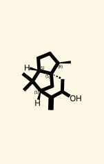 C=C1C(O)C[C@]23C[C@H]1C(C)(C)[C@@H]2CC[C@H]3C